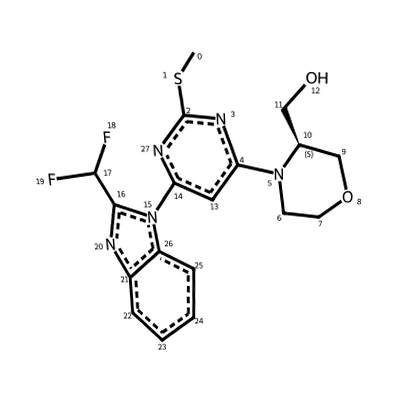 CSc1nc(N2CCOC[C@@H]2CO)cc(-n2c(C(F)F)nc3ccccc32)n1